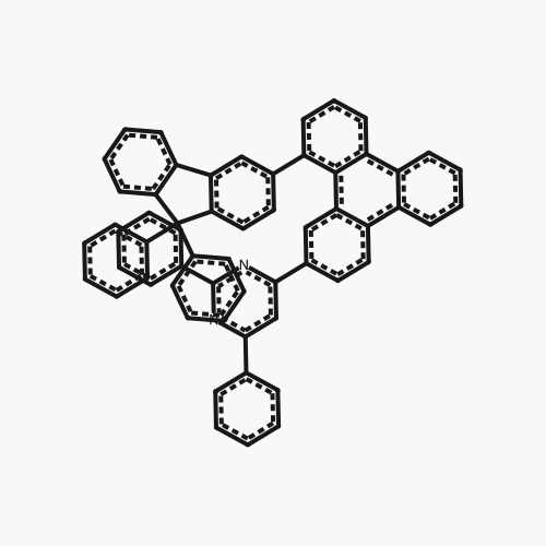 c1ccc(-c2cc(-c3ccc4c5ccccc5c5cccc(-c6ccc7c(c6)-c6ccccc6C7(c6ccccc6)c6ccccc6)c5c4c3)nc(-c3ccccc3)n2)cc1